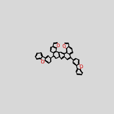 c1ccc2c(c1)oc1ccc(-c3cc4cc5cc(-c6ccc7oc8ccccc8c7c6)c6ccc7ccoc7c6c5cc4c4c3ccc3ccoc34)cc12